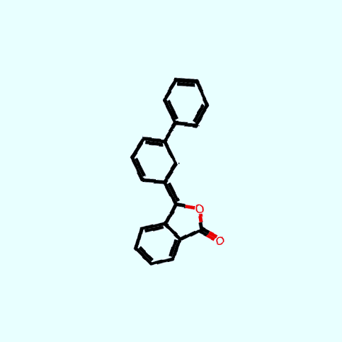 O=C1OC(=C2[CH]C(c3[c]cccc3)=CC=C2)c2ccccc21